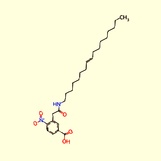 CCCCCCCCC=CCCCCCCCNC(=O)Cc1cc(C(=O)O)ccc1[N+](=O)[O-]